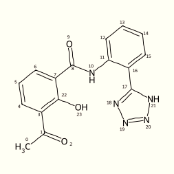 CC(=O)c1cccc(C(=O)Nc2ccccc2-c2nnn[nH]2)c1O